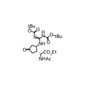 CCOC(=O)C(NC(C)=O)[C@@H]1CC(=O)C[C@H]1N/C(=N/C(=O)OC(C)(C)C)NC(=O)OC(C)(C)C